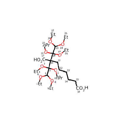 CCCOC(OCC)(C(OCC)OCC)C(CCCCCC(=O)O)(C(=O)O)C(OCC)(OCCC)C(OCC)OCC